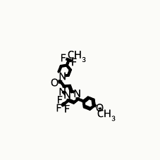 COc1ccc(-c2cc(C(F)(F)F)n3nc(C(=O)N4CCC(C(C)(F)F)CC4)cc3n2)cc1